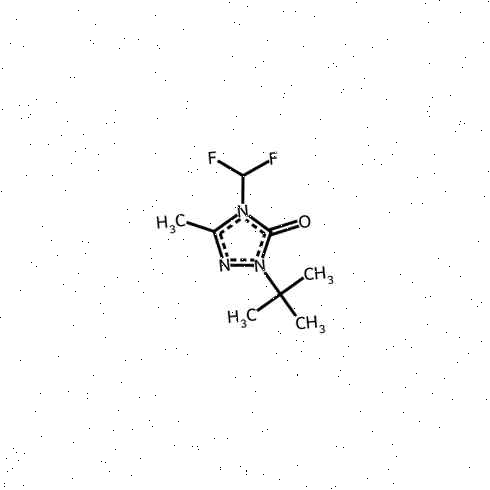 Cc1nn(C(C)(C)C)c(=O)n1C(F)F